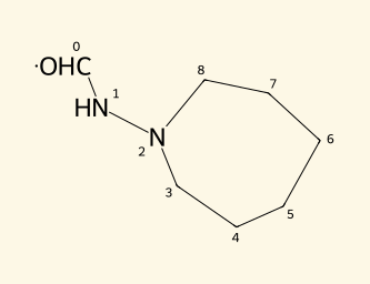 O=[C]NN1CCCCCC1